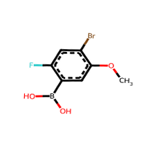 COc1cc(B(O)O)c(F)cc1Br